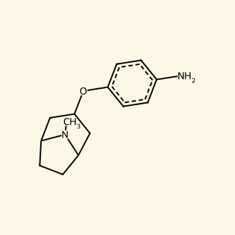 CN1C2CCC1CC(Oc1ccc(N)cc1)C2